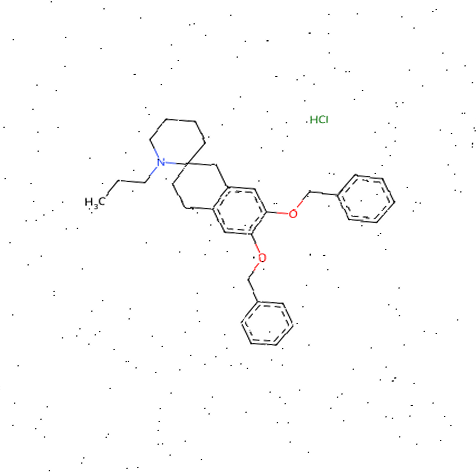 CCCN1CCCCC12CCc1cc(OCc3ccccc3)c(OCc3ccccc3)cc1C2.Cl